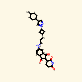 CCC1CCC(c2cnn([C@H]3C[C@H](CCCNc4ccc5c(c4)C(=O)C(C4CCC(=O)NC4=O)C5=O)C3)c2)CC1